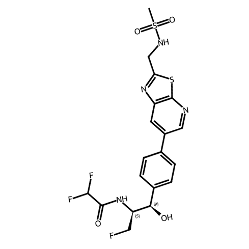 CS(=O)(=O)NCc1nc2cc(-c3ccc([C@@H](O)[C@@H](CF)NC(=O)C(F)F)cc3)cnc2s1